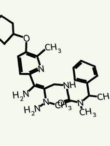 Cc1nc(/C(N)=C(\CNC(=O)N(C)C(C)c2ccccc2)N(C)N)ccc1OC1CCCCC1